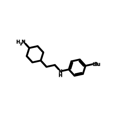 CC(C)(C)c1ccc(NCCC2CCC(N)CC2)cc1